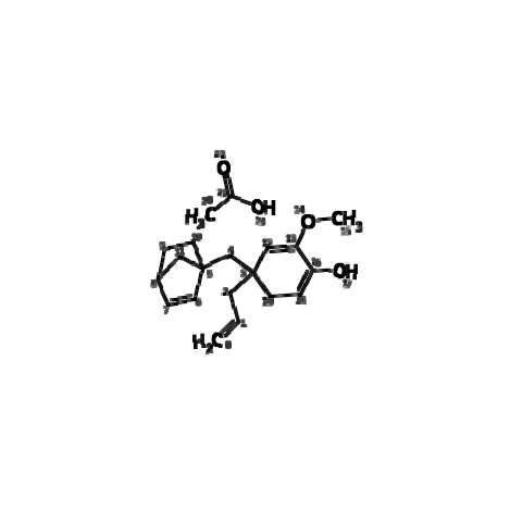 C=CCC1(CC23C=CC(CC2)C3)C=C(OC)C(O)=CC1.CC(=O)O